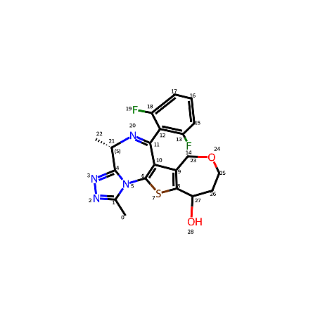 Cc1nnc2n1-c1sc3c(c1C(c1c(F)cccc1F)=N[C@H]2C)COCCC3O